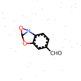 O=Cc1ccc2c(c1)OC1ON21